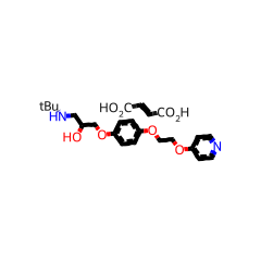 CC(C)(C)NCC(O)COc1ccc(OCCOc2ccncc2)cc1.O=C(O)C=CC(=O)O